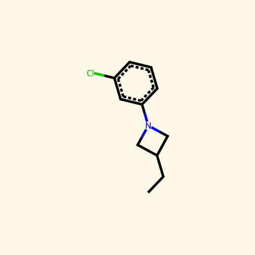 CCC1CN(c2cccc(Cl)c2)C1